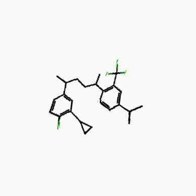 CC(C)c1ccc(C(C)CCC(C)c2ccc(F)c(C3CC3)c2)c(C(F)(F)F)c1